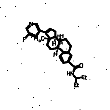 CCC(CC)NC(=O)c1ccc2c(c1)CC[C@@H]1[C@@H]2CC[C@]2(C)C(c3cncc(F)c3)=CC[C@@H]12